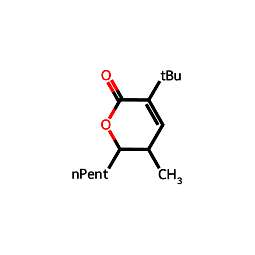 CCCCCC1OC(=O)C(C(C)(C)C)=CC1C